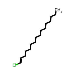 CCCCCCCCCCCCCCC=CCl